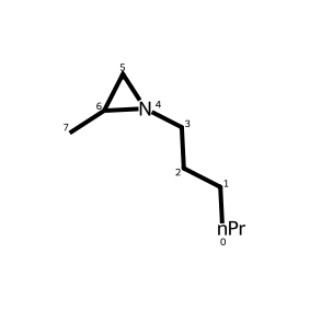 CCCCCCN1[CH]C1C